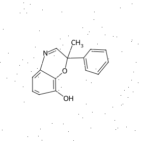 CC1(c2ccccc2)C=Nc2cccc(O)c2O1